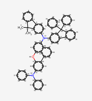 CC1(C)c2ccccc2-c2ccc(N(c3ccc4c(c3)C(c3ccccc3)(c3ccccc3)c3ccccc3-4)c3ccc4c5c(cccc35)-c3ccc(N(c5ccccc5)c5ccccc5)cc3O4)cc21